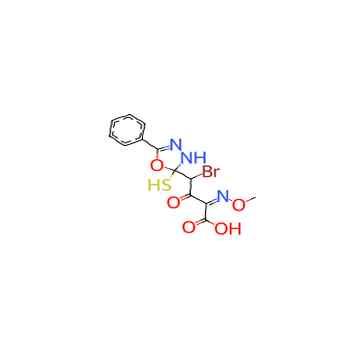 CON=C(C(=O)O)C(=O)C(Br)C1(S)NN=C(c2ccccc2)O1